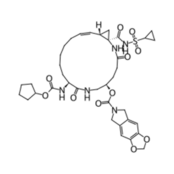 O=C1CC[C@@H](OC(=O)N2Cc3cc4c(cc3C2)OCO4)CNC(=O)[C@@H](NC(=O)OC2CCCC2)CCCCC/C=C\[C@@H]2C[C@@]2(C(=O)NS(=O)(=O)C2CC2)N1